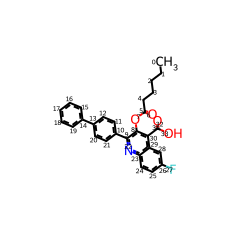 CCCCCC(=O)Oc1c(-c2ccc(-c3ccccc3)cc2)nc2ccc(F)cc2c1C(=O)O